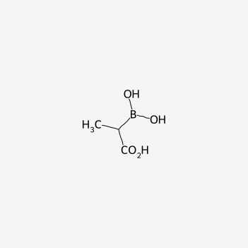 CC(B(O)O)C(=O)O